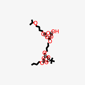 CCCCOB1OB(OCCCCOB2OB(O)OB(OCCCCOC(C)C)O2)OB(C(C)(C)C)O1